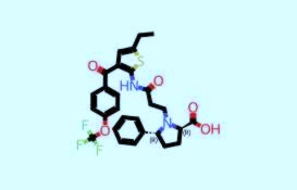 CCc1cc(C(=O)c2ccc(OC(F)(F)F)cc2)c(NC(=O)CCN2[C@@H](C(=O)O)CC[C@@H]2c2ccccc2)s1